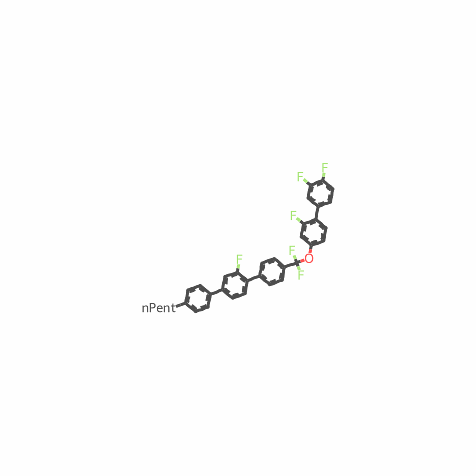 CCCCCc1ccc(-c2ccc(-c3ccc(C(F)(F)Oc4ccc(-c5ccc(F)c(F)c5)c(F)c4)cc3)c(F)c2)cc1